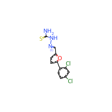 NC(=S)N/N=C/c1ccc(-c2ccc(Cl)cc2Cl)o1